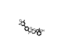 Cc1cc(-c2ccc([C@H](C)N3CCC(CC(C)(C)O)(c4ccccc4)OC3=O)cc2)cn(C)c1=O